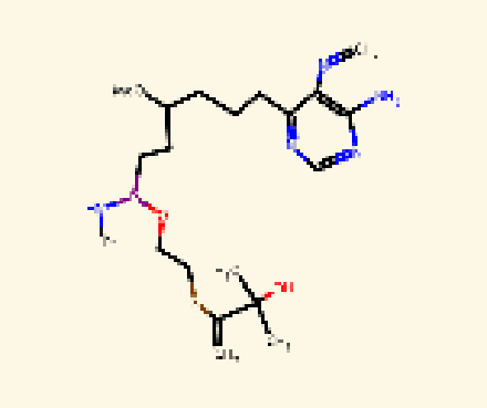 C=Nc1c(N)ncnc1CCCC(CCP(NC(C)C)OCCSC(=C)C(C)(C)O)OC